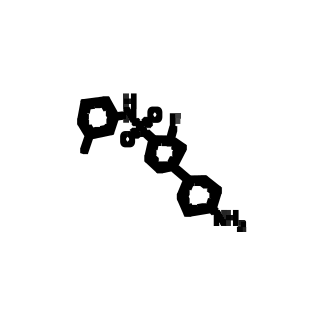 Cc1cccc(NS(=O)(=O)c2ccc(-c3ccc(N)cc3)cc2F)c1